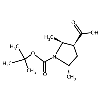 C[C@H]1C[C@H](C(=O)O)[C@H](C)N1C(=O)OC(C)(C)C